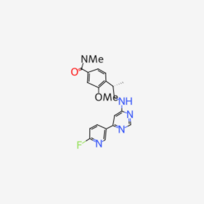 CNC(=O)c1ccc([C@H](C)CNc2cc(-c3ccc(F)nc3)ncn2)c(OC)c1